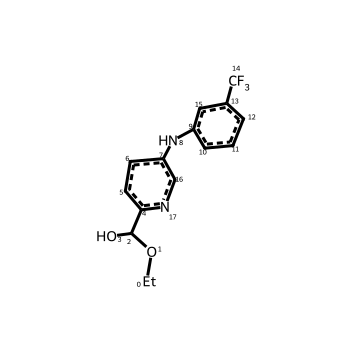 CCOC(O)c1ccc(Nc2cccc(C(F)(F)F)c2)cn1